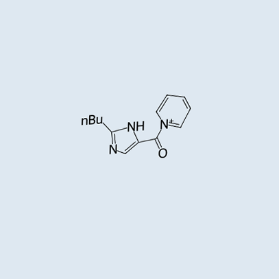 CCCCc1ncc(C(=O)[n+]2ccccc2)[nH]1